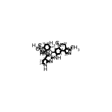 COc1cc2c(cc1Nc1nc(Nc3ccccc3P(C)(C)=O)c3cc[nH]c3n1)-c1cnn(C)c1CCN2C